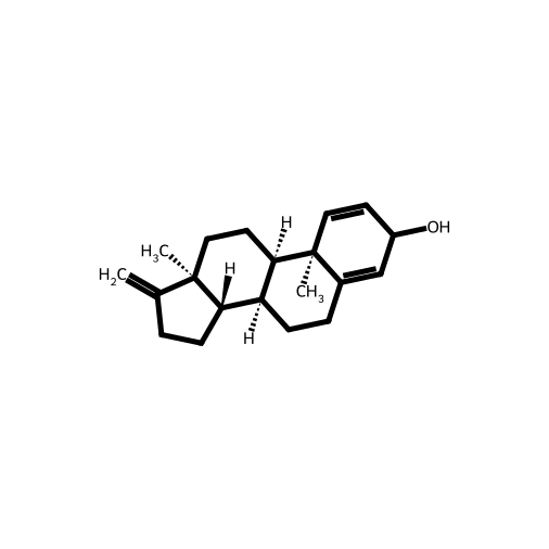 C=C1CC[C@H]2[C@@H]3CCC4=CC(O)C=C[C@]4(C)[C@@H]3CC[C@]12C